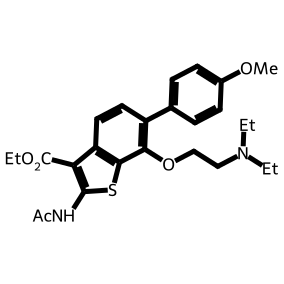 CCOC(=O)c1c(NC(C)=O)sc2c(OCCN(CC)CC)c(-c3ccc(OC)cc3)ccc12